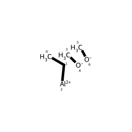 C[CH2][Al+2].C[O-].C[O-]